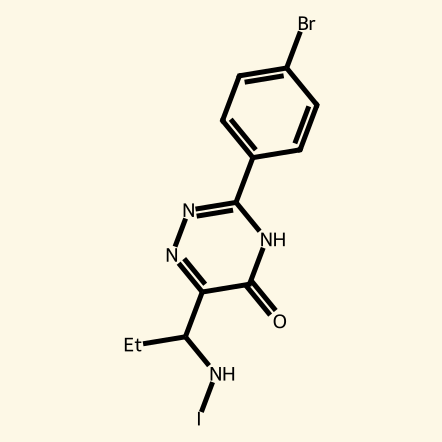 CCC(NI)c1nnc(-c2ccc(Br)cc2)[nH]c1=O